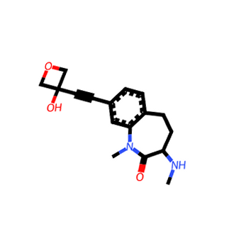 CNC1CCc2ccc(C#CC3(O)COC3)cc2N(C)C1=O